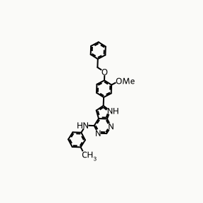 COc1cc(-c2cc3c(Nc4cccc(C)c4)ncnc3[nH]2)ccc1OCc1ccccc1